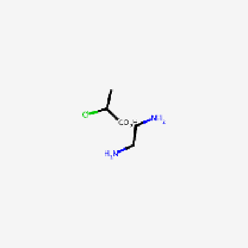 CC(Cl)C(=O)O.NCCN